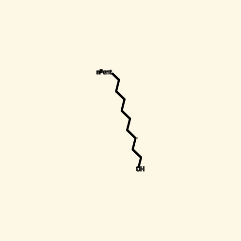 CCCCCCCCCCC[CH]CCO